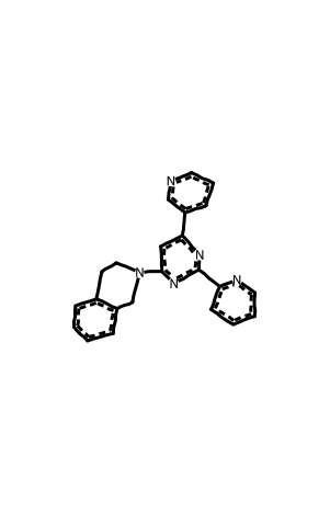 c1ccc(-c2nc(-c3cccnc3)cc(N3CCc4ccccc4C3)n2)nc1